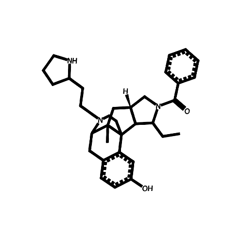 CCC1C2[C@@H](CN1C(=O)c1ccccc1)CC1(C)C3Cc4ccc(O)cc4C21CCN3CCC1CCCN1